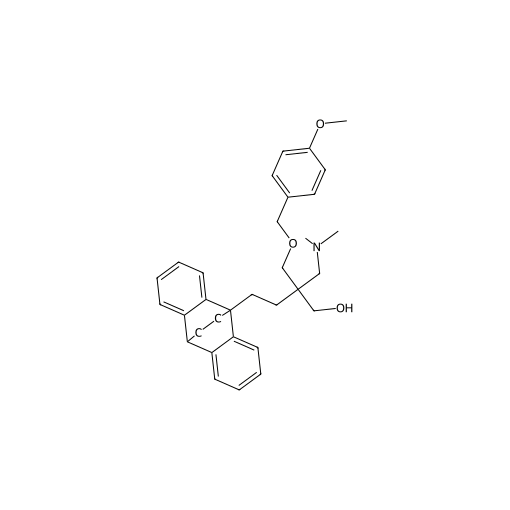 COc1ccc(COCC(CO)(CCC23CCC(c4ccccc42)c2ccccc23)CN(C)C)cc1